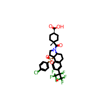 C[C@]1(C(=O)N2CCC3(S(=O)(=O)c4ccc(Cl)cc4)c4ccc(C(F)(C(F)(F)F)C(F)(F)F)cc4CCC23)CC[C@H](C(=O)O)CC1